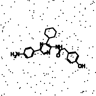 Nc1ccc(-c2cnc(NC(=O)Cc3ccc(O)cc3)c(C3CCCCC3)n2)cc1